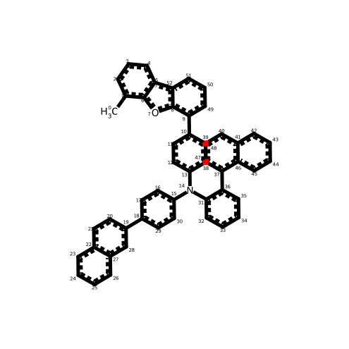 Cc1cccc2c1oc1c(-c3ccc(N(c4ccc(-c5ccc6ccccc6c5)cc4)c4ccccc4-c4cccc5ccccc45)cc3)cccc12